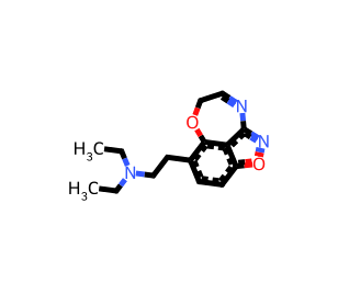 CCN(CC)CCc1ccc2onc3c2c1OCC=N3